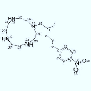 CC(CCCc1ccc([N+](=O)[O-])cc1)CN1CCNCCNCCNCC1